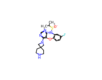 CC(C)[S+]([O-])Nc1cc(F)ccc1Oc1cncnc1N1CC2(CCNCC2)C1